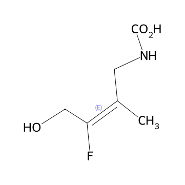 C/C(CNC(=O)O)=C(\F)CO